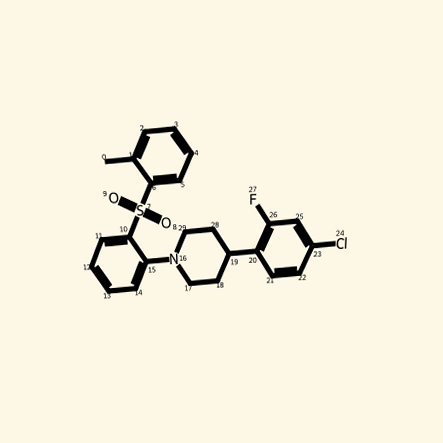 Cc1ccccc1S(=O)(=O)c1ccccc1N1CCC(c2ccc(Cl)cc2F)CC1